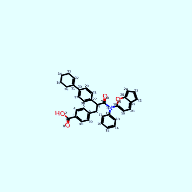 O=C(O)c1ccc(CC(C(=O)N(c2ccccc2)c2ccc3cccc-3o2)c2ccc(C3=CCCCC3)cc2)cc1